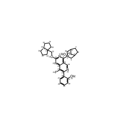 O=C(O)N1C2CCC1CN(c1nc(OCC34CCCN3CCC4)nc3c(F)c(-c4ccccc4O)ncc13)C2